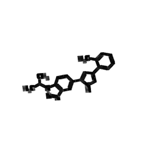 Cc1ccccc1-c1c[nH]c(-c2ccc3c(c2)nnn3C(C)C)c1